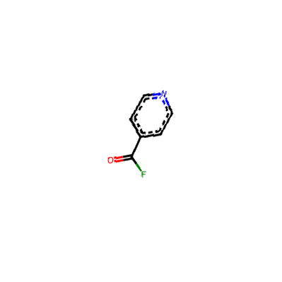 O=C(F)c1ccncc1